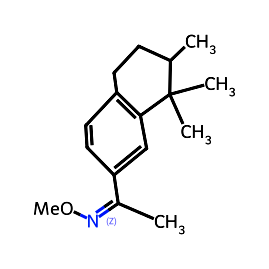 CO/N=C(/C)c1ccc2c(c1)C(C)(C)C(C)CC2